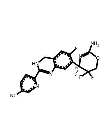 C[C@]1(c2cc3c(cc2F)CNC(c2ccc(C#N)cn2)=N3)N=C(N)OCC1(F)F